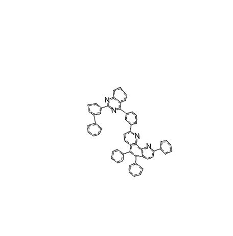 c1ccc(-c2cccc(-c3nc(-c4cccc(-c5ccc6c(-c7ccccc7)c(-c7ccccc7)c7ccc(-c8ccccc8)nc7c6n5)c4)c4ccccc4n3)c2)cc1